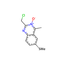 CSc1ccc2nc(CCl)[n+]([O-])c(C)c2c1